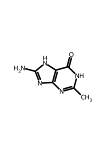 Cc1nc2nc(N)[nH]c2c(=O)[nH]1